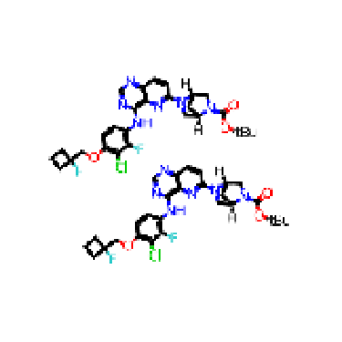 CC(C)(C)OC(=O)N1C[C@@H]2C[C@H]1CN2c1ccc2ncnc(Nc3ccc(OCC4(F)CCC4)c(Cl)c3F)c2n1.CC(C)(C)OC(=O)N1C[C@@H]2C[C@H]1CN2c1ccc2ncnc(Nc3ccc(OCC4(F)CCC4)c(Cl)c3F)c2n1